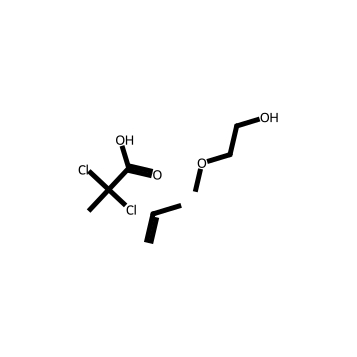 C=CC.CC(Cl)(Cl)C(=O)O.COCCO